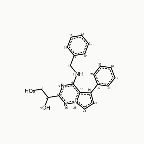 OCC(O)c1nc(NCc2ccccc2)c2c(-c3ccccc3)ccn2n1